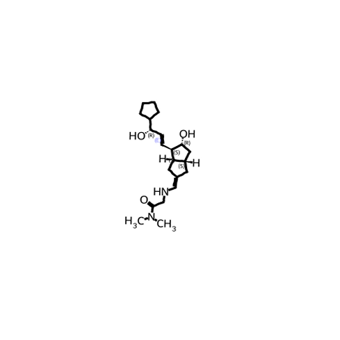 CN(C)C(=O)CNC=C1C[C@H]2C[C@@H](O)[C@H](/C=C/[C@H](O)C3CCCC3)[C@H]2C1